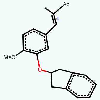 COc1ccc(/C=C(\C)C(C)=O)cc1OC1Cc2ccccc2C1